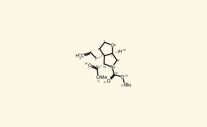 C=CC[C@]12CCO[C@H]1CN(C(=O)OC(C)(C)C)[C@@H]2C(=O)OC